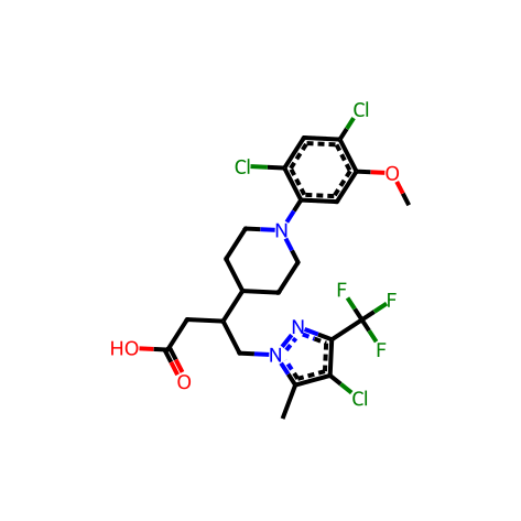 COc1cc(N2CCC(C(CC(=O)O)Cn3nc(C(F)(F)F)c(Cl)c3C)CC2)c(Cl)cc1Cl